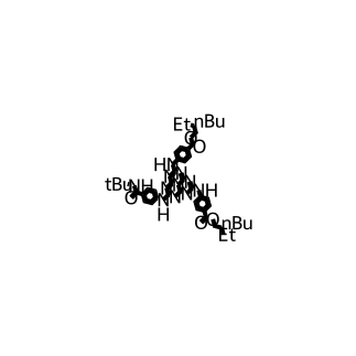 CCCCC(CC)COC(=O)c1ccc(NC2=NC3=NC(Nc4ccc(C(=O)NC(C)(C)C)cc4)=NC4=NC(Nc5ccc(C(=O)OCC(CC)CCCC)cc5)=NC(=N2)N34)cc1